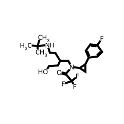 CC(C)(C)NCCC(CCO)CN(C(=O)C(F)(F)F)C1CC1c1ccc(F)cc1